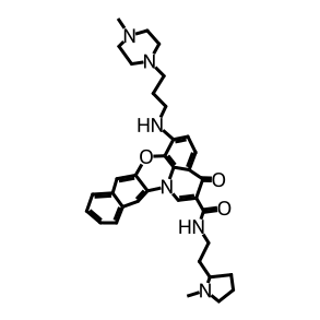 CN1CCN(CCCNc2ccc3c(=O)c(C(=O)NCCC4CCCN4C)cn4c3c2Oc2cc3ccccc3cc2-4)CC1